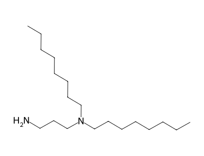 CCCCCCCCN(CCCN)CCCCCCCC